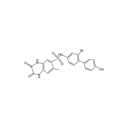 Cc1cc2[nH]c(=O)c(=O)[nH]c2cc1S(=O)(=O)Nc1ccc(-c2ccc(C#N)cc2)c(Br)c1